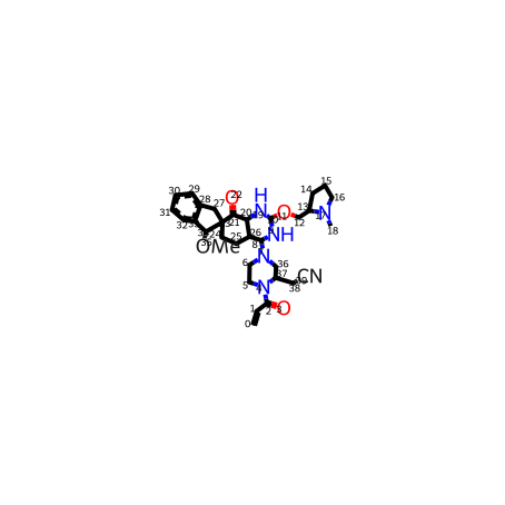 C=CC(=O)N1CCN(C2NC(OCC3CCCN3C)NC3C(=O)C4(CCC32)Cc2ccccc2C4OC)CC1CC#N